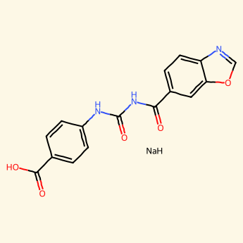 O=C(NC(=O)c1ccc2ncoc2c1)Nc1ccc(C(=O)O)cc1.[NaH]